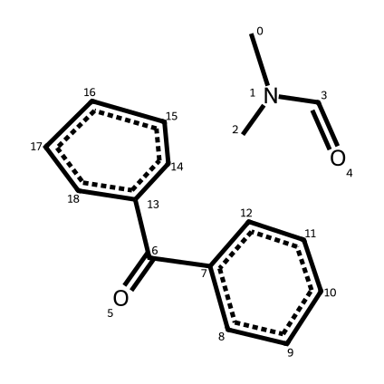 CN(C)C=O.O=C(c1ccccc1)c1ccccc1